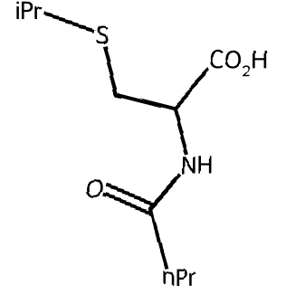 CCCC(=O)NC(CSC(C)C)C(=O)O